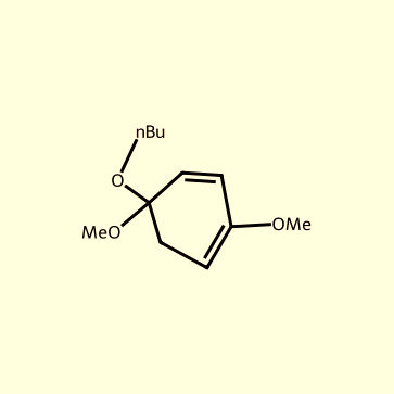 CCCCOC1(OC)C=CC(OC)=CC1